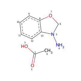 CC(=O)O.NN1COc2ccccc21